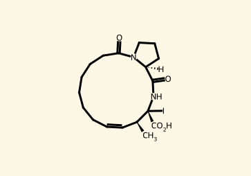 C[C@H]1/C=C\CCCCCCC(=O)N2CCC[C@H]2C(=O)N[C@@]1(I)C(=O)O